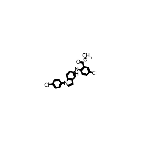 COC(=O)c1cc(Cl)ccc1Nc1ccc2c(ccn2-c2ccc(Cl)cc2)c1